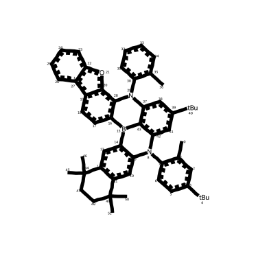 Cc1cc(C(C)(C)C)ccc1N1c2cc3c(cc2B2c4ccc5c(oc6ccccc65)c4N(c4ccccc4C)c4cc(C(C)(C)C)cc1c42)C(C)(C)CCC3(C)C